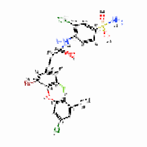 N#Cc1cc(Cl)cc(Oc2c(F)cc(CC(=O)Nc3ccc(S(N)(=O)=O)cc3Cl)cc2Br)c1